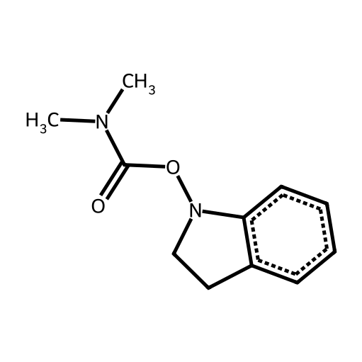 CN(C)C(=O)ON1CCc2ccccc21